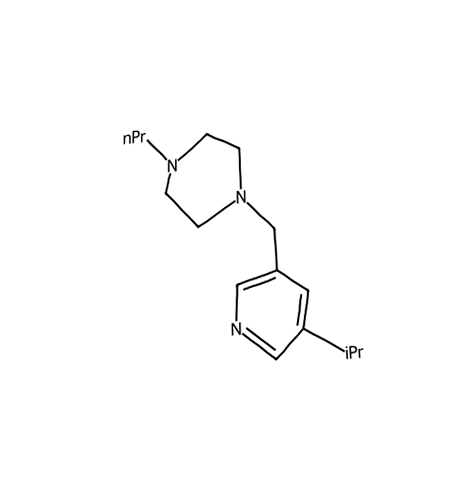 CCCN1CCN(Cc2cncc(C(C)C)c2)CC1